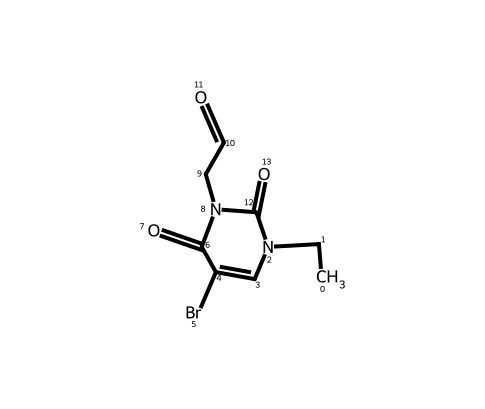 CCn1cc(Br)c(=O)n(CC=O)c1=O